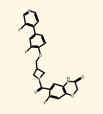 O=C1COc2cc(F)c(C(=O)N3CC(COc4ccc(-c5ccncc5F)cc4F)C3)cc2N1